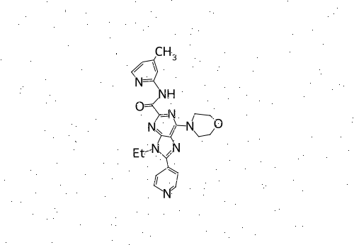 CCn1c(-c2ccncc2)nc2c(N3CCOCC3)nc(C(=O)Nc3cc(C)ccn3)nc21